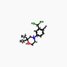 CC1(C)CN(c2ccc(I)c(C(F)F)c2)CCO1